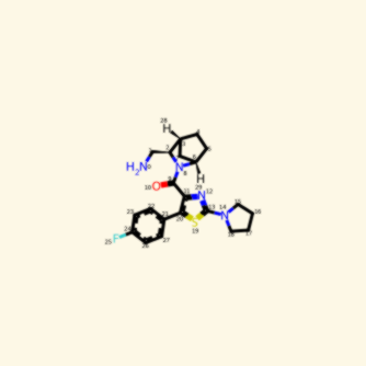 NC[C@H]1[C@@H]2CC[C@@H](C2)N1C(=O)c1nc(N2CCCC2)sc1-c1ccc(F)cc1